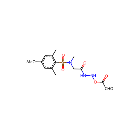 COc1cc(C)c(S(=O)(=O)N(C)CC(=O)NNOC(=O)C=O)c(C)c1